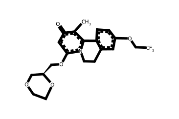 Cc1c2n(c(OC[C@@H]3COCCO3)cc1=O)CCc1cc(OCC(F)(F)F)ccc1-2